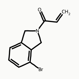 C=CC(=O)N1Cc2cccc(Br)c2C1